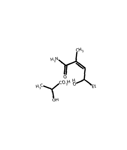 CC(O)C(=O)O.CCC(O)C=C(C)C(N)=O